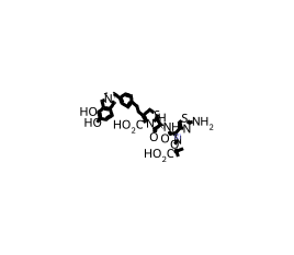 CC(C)(O/N=C(\C(=O)N[C@@H]1C(=O)N2C(C(=O)O)=C(CCc3ccc(C[N+]4(C)Cc5ccc(O)c(O)c5C4)cc3)CS[C@H]12)c1csc(N)n1)C(=O)O